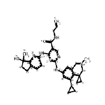 C=CCNC(=O)c1cnc(Nc2cc3c(c(C4CC4)c2)C2(CC2)CN(C)C3)nc1Nc1ccc2c(n1)C(C)(O)CC2